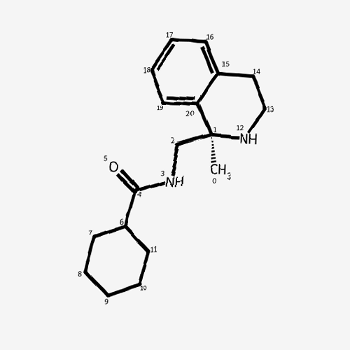 C[C@@]1(CNC(=O)C2CCCCC2)NCCc2ccccc21